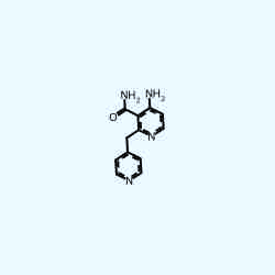 NC(=O)c1c(N)ccnc1Cc1ccncc1